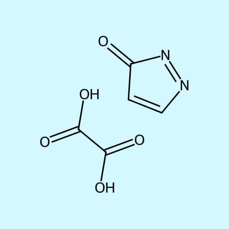 O=C(O)C(=O)O.O=C1C=CN=N1